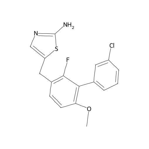 COc1ccc(Cc2cnc(N)s2)c(F)c1-c1cccc(Cl)c1